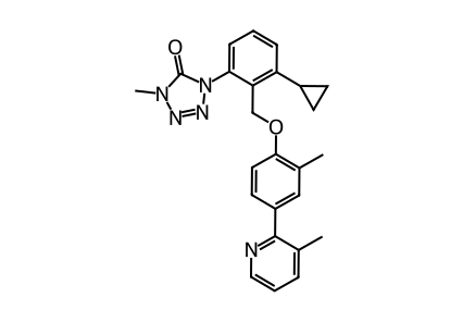 Cc1cc(-c2ncccc2C)ccc1OCc1c(C2CC2)cccc1-n1nnn(C)c1=O